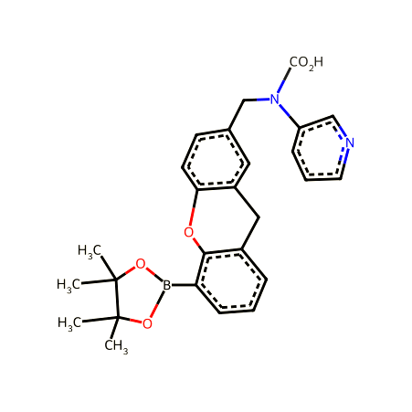 CC1(C)OB(c2cccc3c2Oc2ccc(CN(C(=O)O)c4cccnc4)cc2C3)OC1(C)C